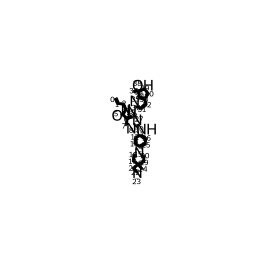 C=CCn1c(=O)c2cnc(Nc3ccc(N4CCC5(CC4)CN(C)C5)cc3)nc2n1-c1ccc2c(n1)C(C)(O)CC2